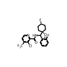 O=C(NC(c1ccccc1F)[C@]1(O)CC[C@@H](F)CC1)c1nccc(C(F)(F)F)c1Cl